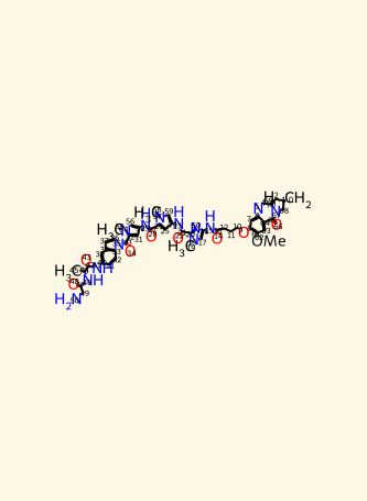 C=C1C[C@H]2C=Nc3cc(OCCCC(=O)Nc4cn(C)c(C(=O)Nc5cc(C(=O)Nc6cc(C(=O)n7ccc8cc(NC(=O)[C@H](C)NC(=O)CN)ccc87)n(C)c6)n(C)c5)n4)c(OC)cc3C(=O)N2C1